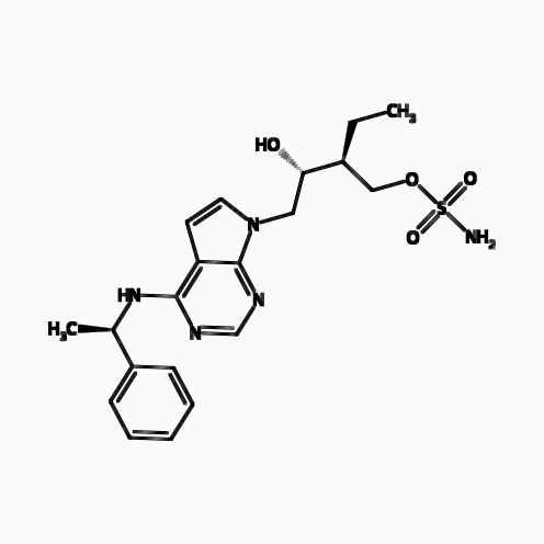 CC[C@@H](COS(N)(=O)=O)[C@@H](O)Cn1ccc2c(N[C@H](C)c3ccccc3)ncnc21